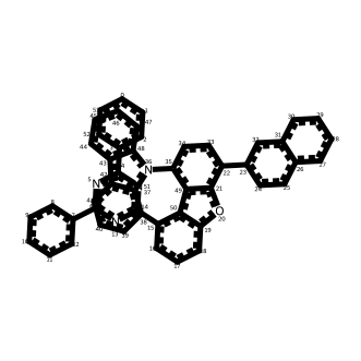 c1ccc(-c2nc(-c3ccccc3)nc(-c3cccc4oc5c(-c6ccc7ccccc7c6)ccc(-n6c7ccccc7c7ccccc76)c5c34)n2)cc1